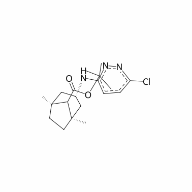 CC(C)(C)OC(=O)C1[C@@]2(C)CC[C@]1(C)C[C@@H](Nc1ccc(Cl)nn1)C2